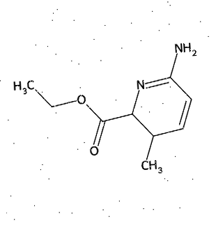 CCOC(=O)C1N=C(N)C=CC1C